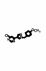 COc1ccc(Cn2cc(-c3cc(Cl)ncn3)cn2)cc1